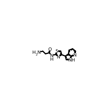 NCCC(=O)Nc1nc(-c2c[nH]c3ncccc23)cs1